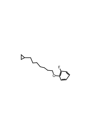 Fc1[c]cccc1OCCCCCCCC1CC1